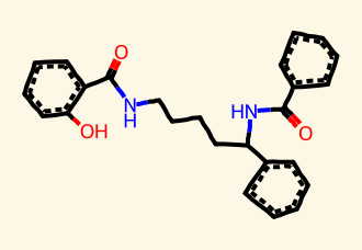 O=C(NC(CCCCNC(=O)c1ccccc1O)c1ccccc1)c1ccccc1